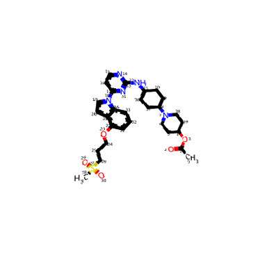 CC(=O)OC1CCN(C2CCC(Nc3nccc(-n4ccc5c(OCCCS(C)(=O)=O)cccc54)n3)CC2)CC1